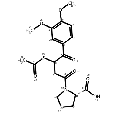 COc1ccc(C(=O)C(CC(=O)N2CSC[C@H]2C(=O)O)SC(C)=O)cc1OC